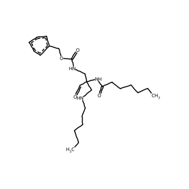 CCCCCCNCC(C=O)(CNC(=O)OCc1ccccc1)NC(=O)CCCCCC